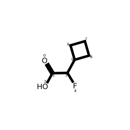 O=C(O)C(F)C1CCC1